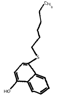 CCCCCCSc1ccc(O)c2ccccc12